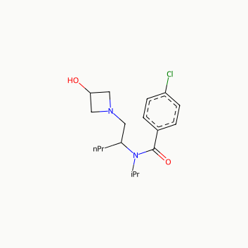 CCCC(CN1CC(O)C1)N(C(=O)c1ccc(Cl)cc1)C(C)C